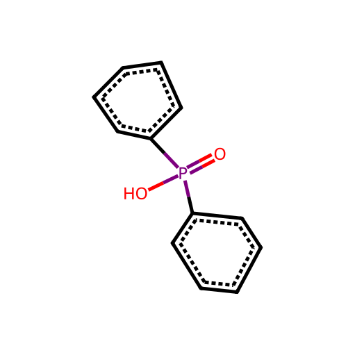 O=P(O)(c1ccccc1)c1ccccc1